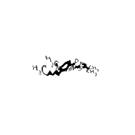 CCCCc1cc2cc(C(=O)Nc3ncc(C(C)C)s3)ccc2n1C